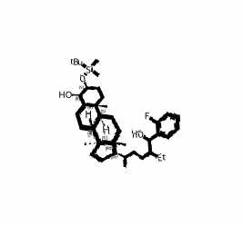 CCC(CCC(C)[C@H]1CC[C@@]2(C)[C@@H]3CC=C4[C@@H](O)[C@@H](O[Si](C)(C)C(C)(C)C)CC[C@]4(C)[C@H]3CC[C@]12C)C(O)c1ccccc1F